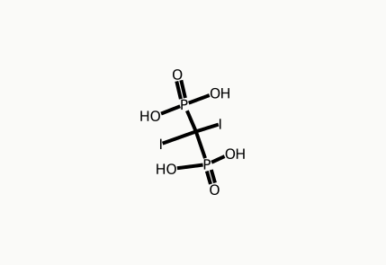 O=P(O)(O)C(I)(I)P(=O)(O)O